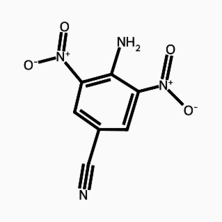 N#Cc1cc([N+](=O)[O-])c(N)c([N+](=O)[O-])c1